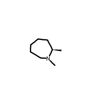 C[C@@H]1CCCCCN1C